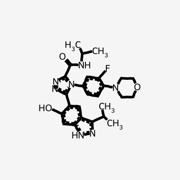 CC(C)NC(=O)c1nnc(-c2cc3c(C(C)C)n[nH]c3cc2O)n1-c1ccc(N2CCOCC2)c(F)c1